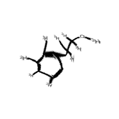 [2H]OC([2H])([2H])C([2H])([2H])c1cc([2H])c([2H])c([2H])c1[2H]